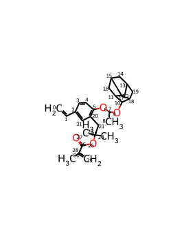 C=Cc1ccc(OC(C)OC2C3CC4CC(C3)CC2C4)c(CC(C)(C)OC(=O)C(=C)C)c1